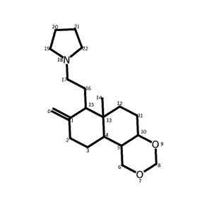 C=C1CCC2C3COCOC3CCC2(C)C1CCN1CCCC1